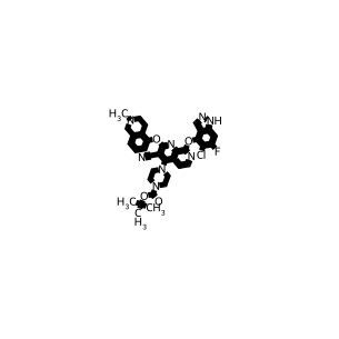 CN1CCc2c(cccc2Oc2nc3c(Oc4c(Cl)c(F)cc5[nH]ncc45)nccc3c(N3CCN(C(=O)OC(C)(C)C)CC3)c2C#N)C1